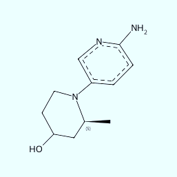 C[C@H]1CC(O)CCN1c1ccc(N)nc1